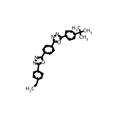 C=Cc1ccc(-c2nnc(-c3ccc(-c4nnc(-c5ccc(C(C)(C)C)cc5)o4)cc3)o2)cc1